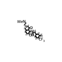 CNCCN1CC(=O)c2c(ccc(C)c2NC(=O)Cc2ccc(C(F)(F)F)c(F)c2)C1